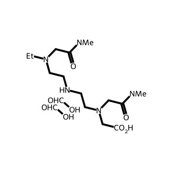 CCN(CCNCCN(CC(=O)O)CC(=O)NC)CC(=O)NC.O=CO.O=CO